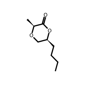 CCCC[C@H]1CO[C@@H](C)C(=O)O1